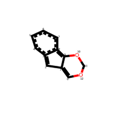 C1=C2C=c3ccccc3=C2OCO1